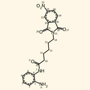 Nc1ccccc1NC(=O)CCCCCN1C(=O)c2ccc([N+](=O)[O-])cc2C1=O